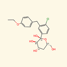 CCOc1ccc(Cc2cc([C@]3(O)O[C@H](CO)C[C@H](O)[C@H]3O)ccc2Cl)cc1